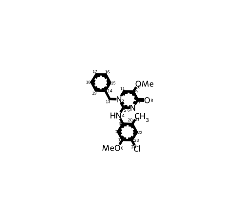 COc1cc(Nc2nc(=O)c(OC)cn2Cc2ccccc2)c(C)cc1Cl